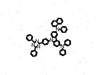 c1ccc(-c2nc(-c3ccccc3)nc(-c3ccc(-n4c5ccc(N(c6ccccc6)c6ccccc6)cc5c5cc(N(c6ccccc6)c6cccc7ccccc67)ccc54)cc3)n2)cc1